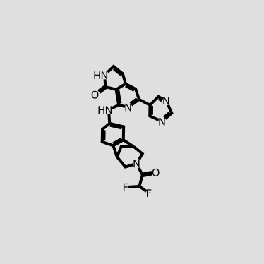 O=C(C(F)F)N1CC2CC(C1)c1cc(Nc3nc(-c4cncnc4)cc4cc[nH]c(=O)c34)ccc12